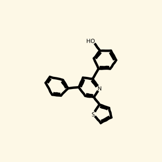 Oc1cccc(-c2cc(-c3ccccc3)cc(-c3cccs3)n2)c1